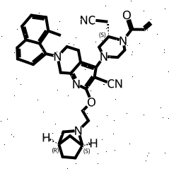 C=CC(=O)N1CCN(c2c(C#N)c(OCCN3C[C@@H]4CC[C@H]3C4)nc3c2CCN(c2cccc4cccc(C)c24)C3)C[C@@H]1CC#N